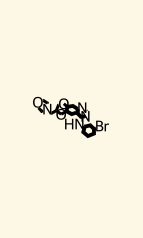 Brc1cccc(Nc2ncnc3cc4c(cc23)OC(CN2CCOCC2)CO4)c1